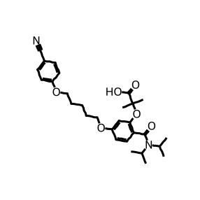 CC(C)N(C(=O)c1ccc(OCCCCCOc2ccc(C#N)cc2)cc1OC(C)(C)C(=O)O)C(C)C